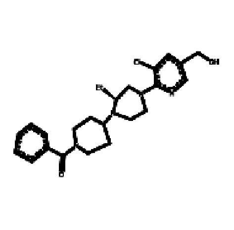 CC[C@H]1CN(c2ncc(CO)cc2Cl)CCN1C1CCN(C(=O)c2ccccc2)CC1